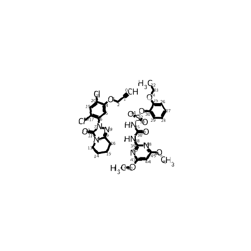 C#CCOc1cc(-n2nc3n(c2=O)CCCC3)c(Cl)cc1Cl.CCOc1ccccc1OS(=O)(=O)NC(=O)Nc1nc(OC)cc(OC)n1